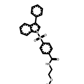 CCOCCNC(=O)c1ccc(S(=O)(=O)n2cc(-c3ccccc3)c3ccccc32)cc1